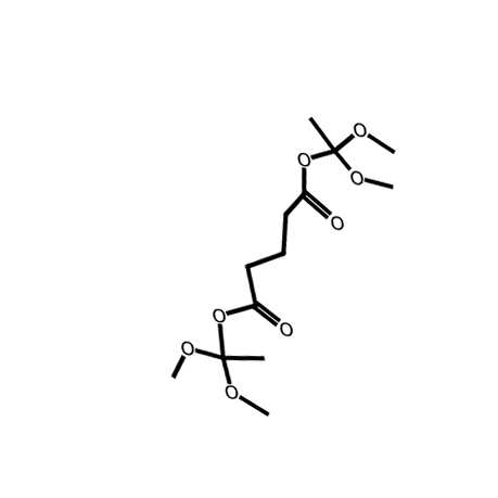 COC(C)(OC)OC(=O)CCCC(=O)OC(C)(OC)OC